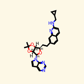 CC1(C)O[C@@H]2[C@H](O1)[C@@H](CCc1ccc3ccc(NCC4CC4)nc3c1)O[C@H]2n1ccc2cncnc21